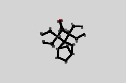 CO[Si](OC)(OC)C1([Si](OC)(OC)OC)CC2CCC1C2